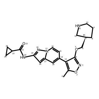 Cc1onc(OC[C@@H]2CCCNC2)c1-c1ccn2nc(NC(=O)C3CC3)cc2c1